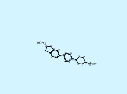 CCCCCCCCC1Cc2ccc(-c3ccc(C4CCC(CCCCC)CC4)cc3)cc2C1